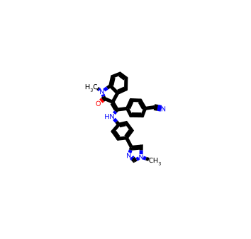 CN1C(=O)/C(=C(\Nc2ccc(-c3cn(C)cn3)cc2)c2ccc(C#N)cc2)c2ccccc21